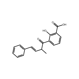 CC(/C=C/c1ccccc1)C(=O)c1cccc(C(=O)O)c1O